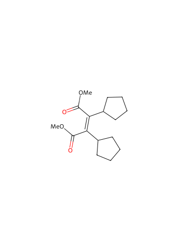 COC(=O)C(=C(C(=O)OC)C1CCCC1)C1CCCC1